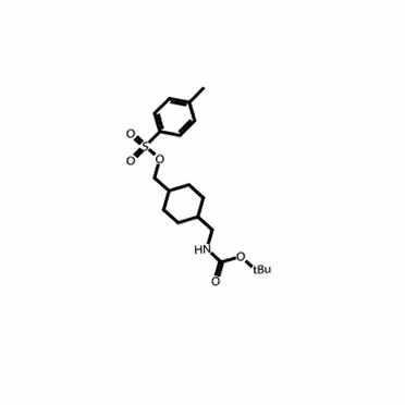 Cc1ccc(S(=O)(=O)OCC2CCC(CNC(=O)OC(C)(C)C)CC2)cc1